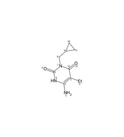 CCc1c(N)[nH]c(=O)n(CC2CC2)c1=O